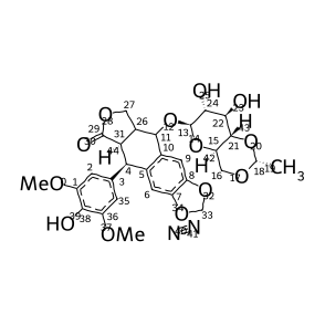 COc1cc([C@@H]2c3cc4c(cc3C(O[C@@H]3O[C@@H]5CO[C@@H](C)O[C@H]5[C@H](O)[C@H]3O)C3COC(=O)[C@@H]32)OCO4)cc(OC)c1O.N#N